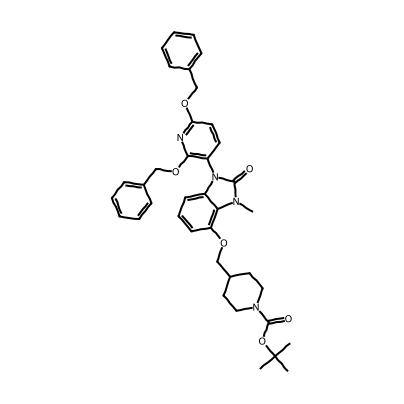 Cn1c(=O)n(-c2ccc(OCc3ccccc3)nc2OCc2ccccc2)c2cccc(OCC3CCN(C(=O)OC(C)(C)C)CC3)c21